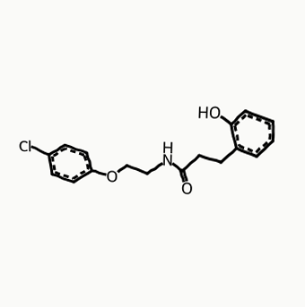 O=C(CCc1ccccc1O)NCCOc1ccc(Cl)cc1